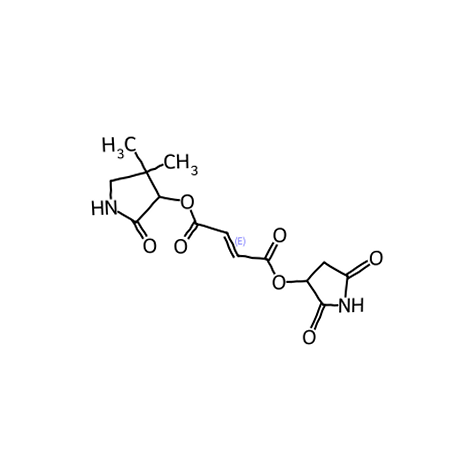 CC1(C)CNC(=O)C1OC(=O)/C=C/C(=O)OC1CC(=O)NC1=O